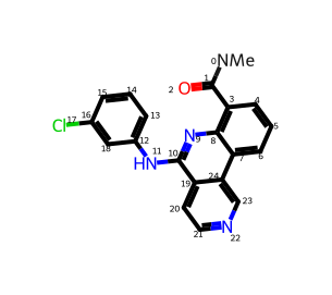 CNC(=O)c1cccc2c1nc(Nc1cccc(Cl)c1)c1ccncc12